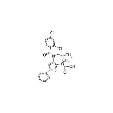 CC(C)CN(C(=O)c1ccc(Cl)cc1Cl)c1cc(-c2ccccc2)sc1OC(=O)O